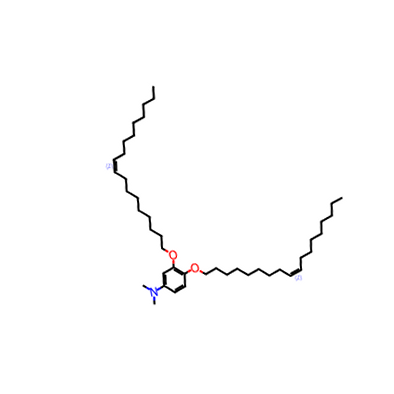 CCCCCCCC/C=C\CCCCCCCCOc1ccc(N(C)C)cc1OCCCCCCCC/C=C\CCCCCCCC